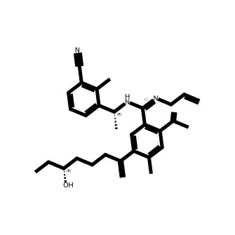 C=CC/N=C(/N[C@H](C)c1cccc(C#N)c1C)c1cc(C(=C)CCC[C@H](O)CC)c(C)cc1C(=C)C